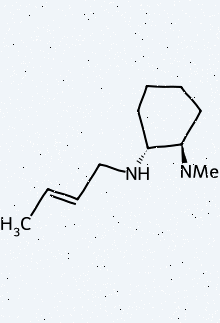 CC=CCN[C@@H]1CCCC[C@H]1NC